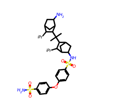 CC(C)C1C2CC(CC2NS(=O)(=O)c2ccc(Oc3ccc(S(N)(=O)=O)cc3)cc2)C1C(C)(C)C1C2CC(CC2N)C1C(C)C